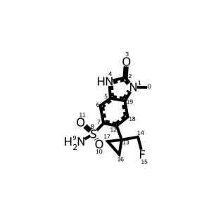 Cn1c(=O)[nH]c2cc(S(N)(=O)=O)c(C3(CF)CC3)cc21